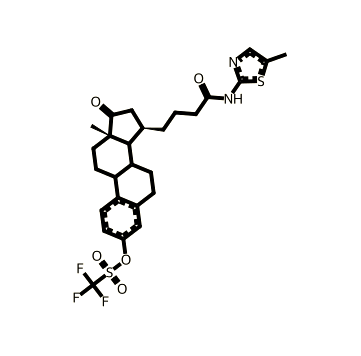 Cc1cnc(NC(=O)CCC[C@@H]2CC(=O)[C@@]3(C)CCC4c5ccc(OS(=O)(=O)C(F)(F)F)cc5CCC4C23)s1